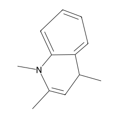 CC1=CC(C)c2ccccc2N1C